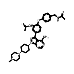 CC(=O)NCc1ccc(Oc2ccc(-c3nn([C@H]4CC[C@@H](N5CCN(C)CC5)CC4)c4ncnc(N)c34)cc2)cc1.CC(=O)O